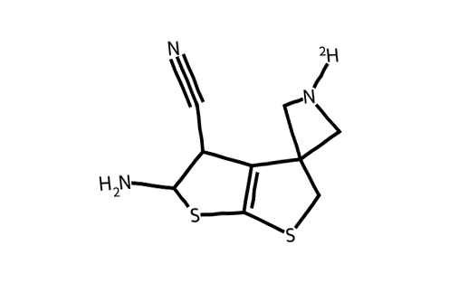 [2H]N1CC2(CSC3=C2C(C#N)C(N)S3)C1